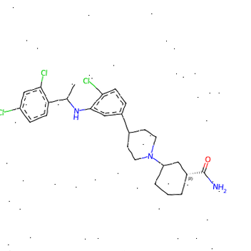 CC(Nc1cc(C2CCN(C3CCC[C@@H](C(N)=O)C3)CC2)ccc1Cl)c1ccc(Cl)cc1Cl